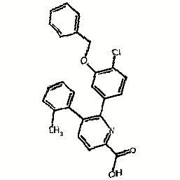 Cc1ccccc1-c1ccc(C(=O)O)nc1-c1ccc(Cl)c(OCc2ccccc2)c1